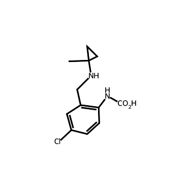 CC1(NCc2cc(Cl)ccc2NC(=O)O)CC1